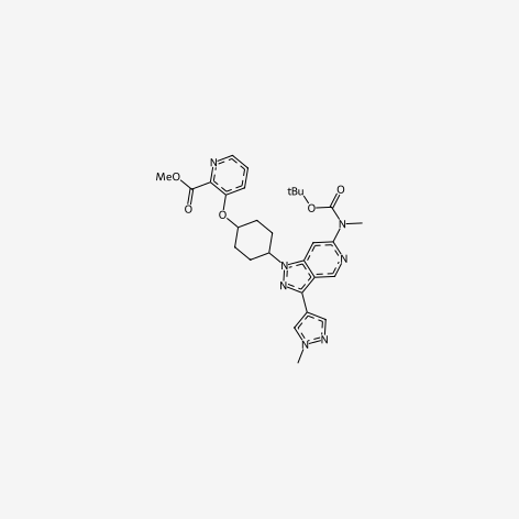 COC(=O)c1ncccc1OC1CCC(n2nc(-c3cnn(C)c3)c3cnc(N(C)C(=O)OC(C)(C)C)cc32)CC1